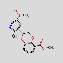 COC(=O)c1cccc2c1OCC(c1cc([S+](C)[O-])cnc1C)O2